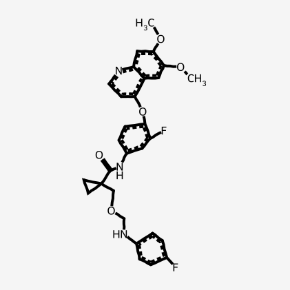 COc1cc2nccc(Oc3ccc(NC(=O)C4(COCNc5ccc(F)cc5)CC4)cc3F)c2cc1OC